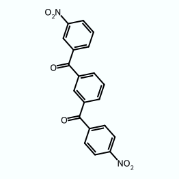 O=C(c1ccc([N+](=O)[O-])cc1)c1cccc(C(=O)c2cccc([N+](=O)[O-])c2)c1